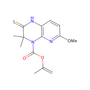 C=C(C)OC(=O)N1c2nc(OC)ccc2NC(=S)C1(C)C